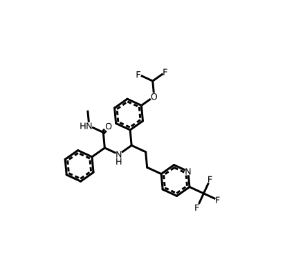 CNC(=O)C(NC(CCc1ccc(C(F)(F)F)nc1)c1cccc(OC(F)F)c1)c1ccccc1